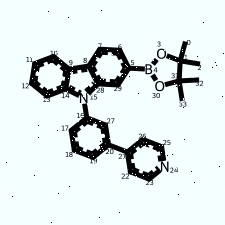 CC1(C)OB(c2ccc3c4ccccc4n(-c4cccc(-c5ccncc5)c4)c3c2)OC1(C)C